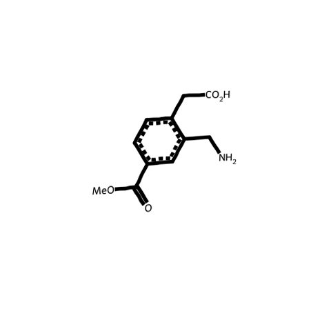 COC(=O)c1ccc(CC(=O)O)c(CN)c1